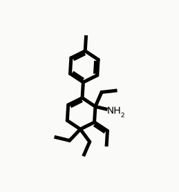 C/C=C1\C(CC)(CC)CC=C(c2ccc(C)cc2)C1(N)CC